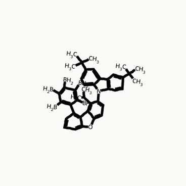 Bc1c(B)c(B)c(-c2cccc3oc4ccc(-n5c6ccc(C(C)(C)C)cc6c6cc(C(C)(C)C)ccc65)c(C(C)C)c4c23)c(B)c1B